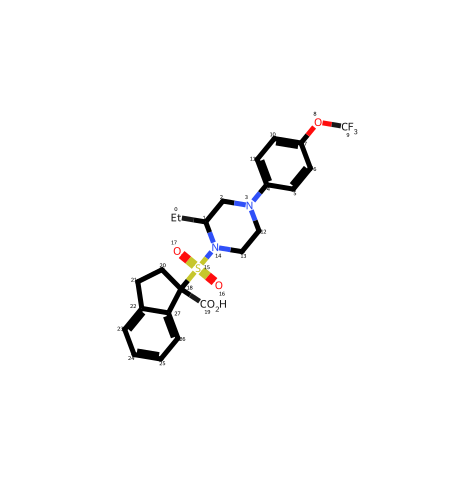 CCC1CN(c2ccc(OC(F)(F)F)cc2)CCN1S(=O)(=O)C1(C(=O)O)CCc2ccccc21